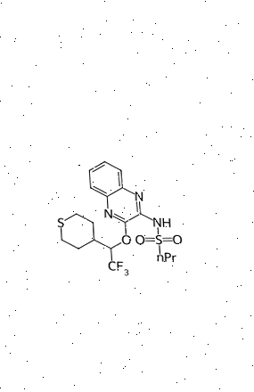 CCCS(=O)(=O)Nc1nc2ccccc2nc1OC(C1CCSCC1)C(F)(F)F